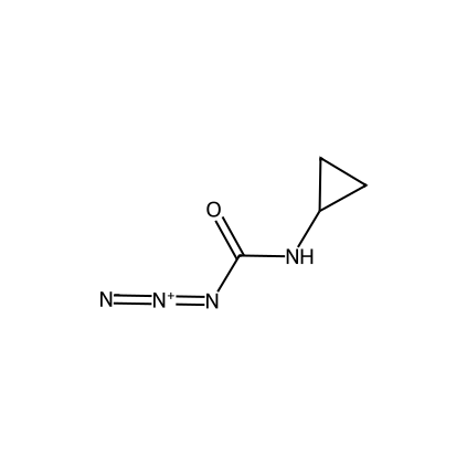 [N-]=[N+]=NC(=O)NC1CC1